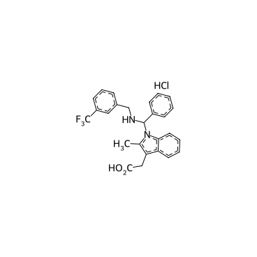 Cc1c(CC(=O)O)c2ccccc2n1C(NCc1cccc(C(F)(F)F)c1)c1ccccc1.Cl